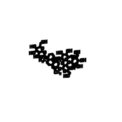 C=C1C[C@@]23CCC4[C@@](C)(CCC[C@@]4(C)C(=O)OC4OC(CO)C(O)C(O)C4O)C2CC[C@]1(OC1OC(CO)C(O)C(OC2CC(CO)C(O)C(O)C2O)C1OC1OC(CO)C(O)C(O)C1O)C3